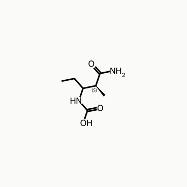 CCC(NC(=O)O)[C@H](C)C(N)=O